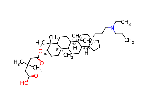 CCCN(CC)CCC[C@]12CCC[C@@H]1[C@H]1CCC3[C@@]4(C)CC[C@H](OC(=O)CC(C)(C)CC(=O)O)C(C)(C)C4CC[C@@]3(C)[C@]1(C)CC2